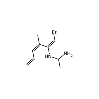 C=C/C=C(C)\C(=C/CC)NC(C)N